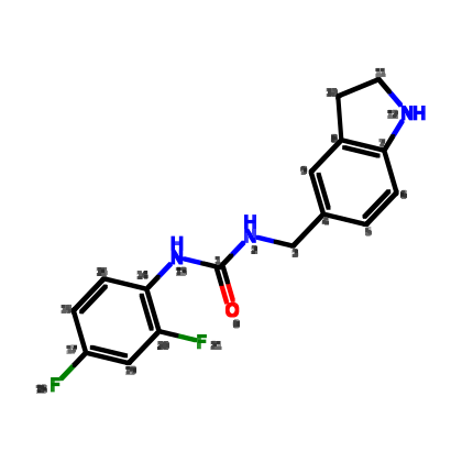 O=C(NCc1ccc2c(c1)CCN2)Nc1ccc(F)cc1F